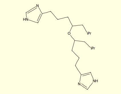 CC(C)CC(CCCc1c[nH]cn1)OC(CCCc1c[nH]cn1)CC(C)C